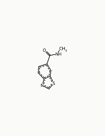 CNC(=O)c1[c]c2scnc2cc1